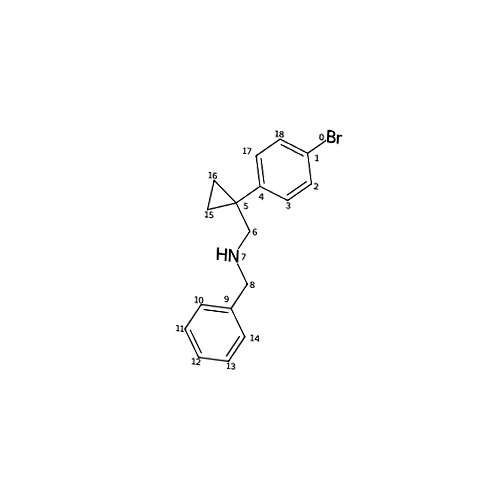 Brc1ccc(C2(CNCc3ccccc3)CC2)cc1